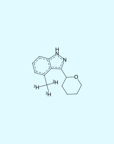 [2H]C([2H])([2H])c1cccc2[nH]nc(C3CCCCO3)c12